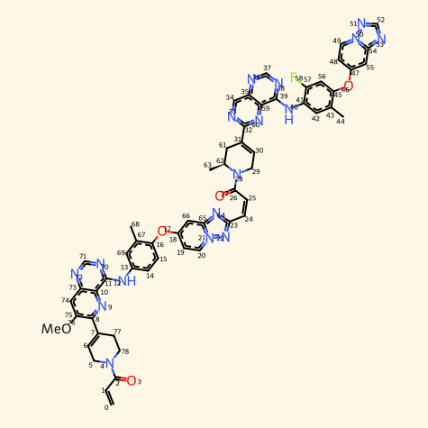 C=CC(=O)N1CC=C(c2nc3c(Nc4ccc(Oc5ccn6nc(/C=C\C(=O)N7CC=C(c8ncc9ncnc(Nc%10cc(C)c(Oc%11ccn%12ncnc%12c%11)cc%10F)c9n8)C[C@@H]7C)nc6c5)c(C)c4)ncnc3cc2OC)CC1